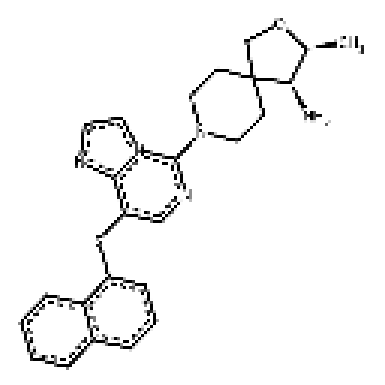 C[C@@H]1OCC2(CCN(c3ncc(Sc4cccc5ccccc45)c4nccn34)CC2)[C@@H]1N